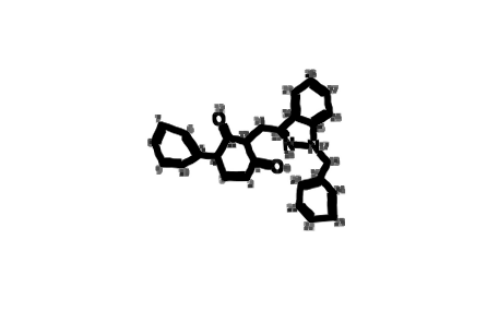 O=C1C=CC(c2ccccc2)C(=O)C1Cc1nn(Cc2ccccc2)c2ccccc12